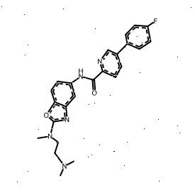 CN(C)CCN(C)c1nc2cc(NC(=O)c3ccc(-c4ccc(F)cc4)cn3)ccc2o1